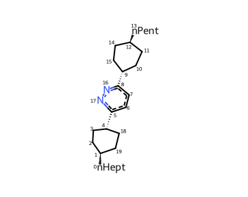 CCCCCCC[C@H]1CC[C@H](c2ccc([C@H]3CC[C@H](CCCCC)CC3)nn2)CC1